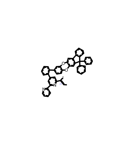 C/C=C(\I)c1cc(-c2ccccc2-c2ccc3c(c2)Oc2cc4c(cc2O3)C(c2ccccc2)(c2ccccc2)c2ccccc2-4)cc(-c2ccccn2)n1